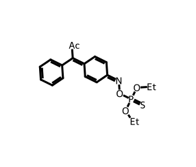 CCOP(=S)(OCC)ON=C1C=CC(=C(C(C)=O)c2ccccc2)C=C1